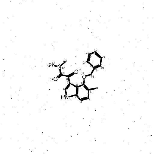 Cc1ccc2[nH]cc(C(=O)C(=O)N(C)C(C)C)c2c1OCc1ccccc1